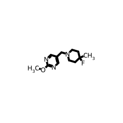 COc1ncc(CN2CCC(C)(F)CC2)cn1